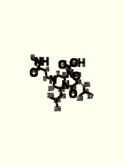 CNC(=O)CCN1CC2N(C(=O)O)O[C@H](CC(C)C)C(=O)N2[C@@H](CC(C)C)C1